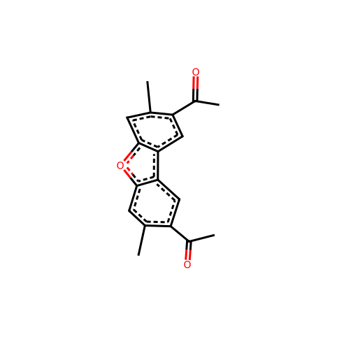 CC(=O)c1cc2c(cc1C)oc1cc(C)c(C(C)=O)cc12